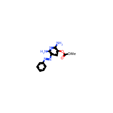 COC(=O)Oc1cc(N=Nc2ccccc2)c(N)nc1N